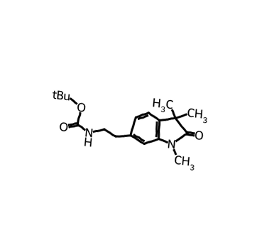 CN1C(=O)C(C)(C)c2ccc(CCNC(=O)OC(C)(C)C)cc21